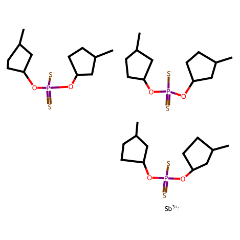 CC1CCC(OP(=S)([S-])OC2CCC(C)C2)C1.CC1CCC(OP(=S)([S-])OC2CCC(C)C2)C1.CC1CCC(OP(=S)([S-])OC2CCC(C)C2)C1.[Sb+3]